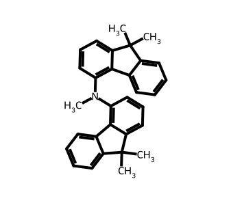 CN(c1cccc2c1-c1ccccc1C2(C)C)c1cccc2c1-c1ccccc1C2(C)C